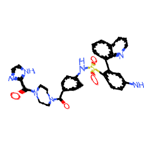 Nc1ccc(S(=O)(=O)Nc2ccc(C(=O)N3CCN(C(=O)c4ncc[nH]4)CC3)cc2)c(-c2cccc3cccnc23)c1